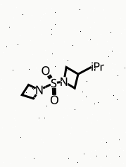 CC(C)C1CN(S(=O)(=O)N2CCC2)C1